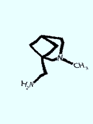 CN1CC2CC1(CN)C2